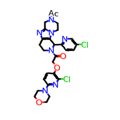 CC(=O)N1CCn2c(nc3c2C(c2ccc(Cl)cn2)N(C(=O)COc2ccc(N4CCOCC4)nc2Cl)CC3)C1